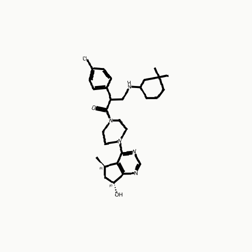 C[C@@H]1C[C@@H](O)c2ncnc(N3CCN(C(=O)C(CNC4CCCC(C)(C)C4)c4ccc(Cl)cc4)CC3)c21